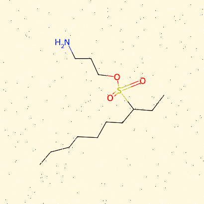 CCCCCCCC(CC)S(=O)(=O)OCCCN